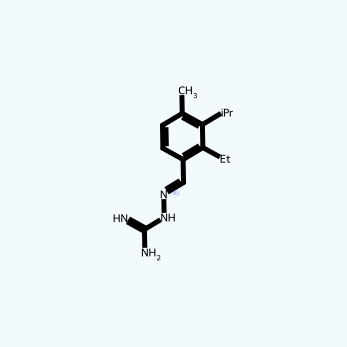 CCc1c(/C=N/NC(=N)N)ccc(C)c1C(C)C